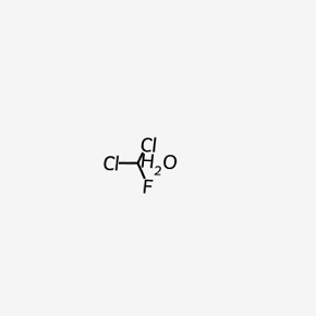 FC(Cl)Cl.O